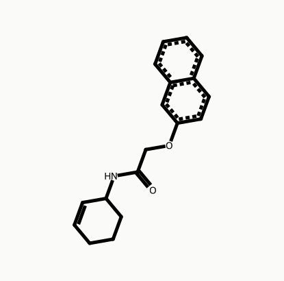 O=C(COc1ccc2ccccc2c1)NC1C=CCCC1